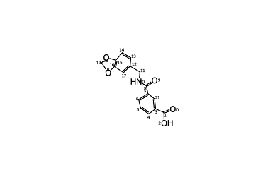 O=C(O)c1cccc(C(=O)NCc2ccc3c(c2)OCO3)c1